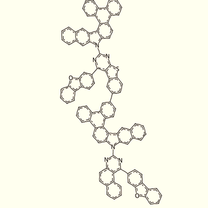 c1ccc2cc3c(cc2c1)c1c2c(ccc1n3-c1nc(-c3ccc4c(c3)oc3ccccc34)c3c(ccc4ccccc43)n1)c1ccccc1c1cc(-c3ccc4sc5nc(-n6c7cc8ccccc8cc7c7c8c9ccccc9c9ccccc9c8ccc76)nc(-c6ccc7c(c6)oc6ccccc67)c5c4c3)ccc12